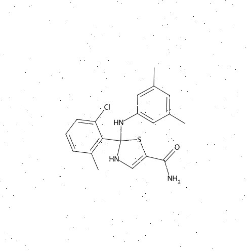 Cc1cc(C)cc(NC2(c3c(C)cccc3Cl)NC=C(C(N)=O)S2)c1